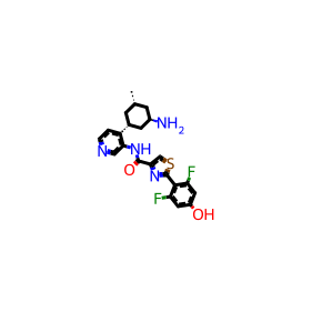 C[C@@H]1C[C@@H](N)C[C@H](c2ccncc2NC(=O)c2csc(-c3c(F)cc(O)cc3F)n2)C1